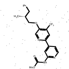 COC(=O)Nc1cc(-c2cc(C(F)(F)F)c(OC[C@H](C)CC(C)C)cn2)ccn1